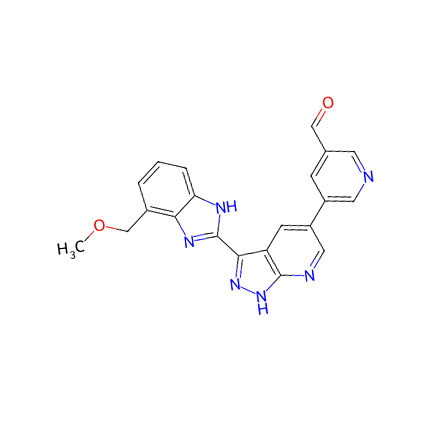 COCc1cccc2[nH]c(-c3n[nH]c4ncc(-c5cncc(C=O)c5)cc34)nc12